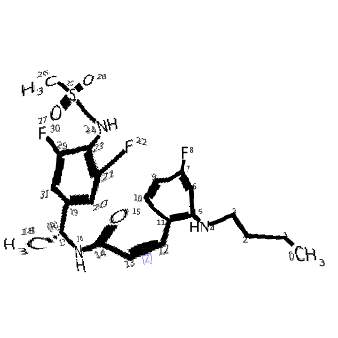 CCCCNc1cc(F)ccc1/C=C\C(=O)N[C@H](C)c1cc(F)c(NS(C)(=O)=O)c(F)c1